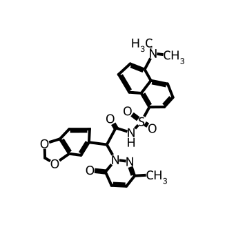 Cc1ccc(=O)n(C(C(=O)NS(=O)(=O)c2cccc3c(N(C)C)cccc23)c2ccc3c(c2)OCO3)n1